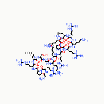 CC(C)C[C@H](NC(=O)[C@H](CCCNC(=N)N)NC(=O)[C@H](CCCCN)NC(=O)[C@H](CCCNC(=N)N)NC(=O)[C@H](CCCCN)NC(=O)[C@H](CCCNC(=N)N)NC(=O)[C@H](CCCCN)NC(=O)[C@H](CCCCN)NC(=O)CNC(=O)[C@H](CO)NC(=O)[C@H](CCC(=O)O)NC(=O)[C@H](CCCNC(=N)N)NC(=O)[C@@H]1CCCN1C(=O)[C@H](CCCNC(=N)N)NC(=O)CN)C(=O)N[C@@H](CCCCN)C(=O)N1CCC[C@H]1C(=O)O